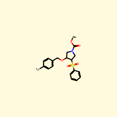 CC(C)(C)OC(=O)N1CC(OCc2ccc(C(F)(F)F)cc2)C(S(=O)(=O)c2ccccc2)C1